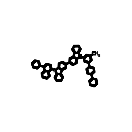 Cc1cc(-c2ccc(-c3ccccc3)cc2)cc(-n2c3ccccc3c3cc(-c4ccc5c(c4)c4ccccc4n5-c4ccc(-c5ccccc5)c5ccccc45)ccc32)c1